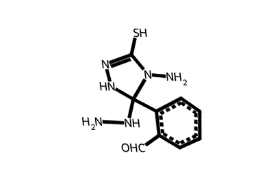 NNC1(c2ccccc2C=O)NN=C(S)N1N